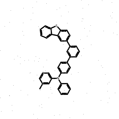 Cc1cccc(N(c2ccccc2)c2ccc(-c3cccc(-c4ccc5sc6ccccc6c5c4)c3)cc2)c1